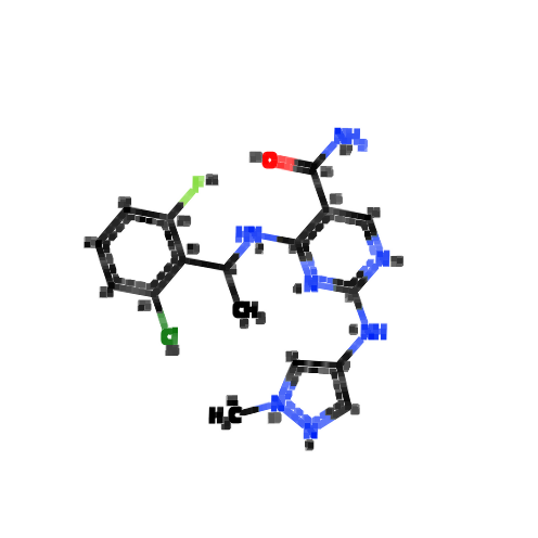 CC(Nc1nc(Nc2cnn(C)c2)ncc1C(N)=O)c1c(F)cccc1Cl